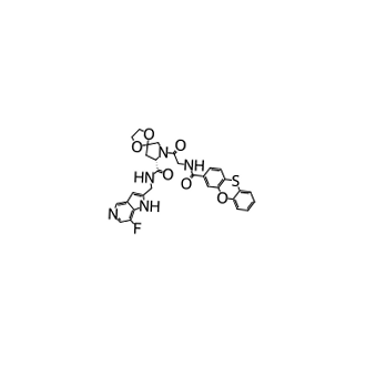 O=C(NCC(=O)N1CC2(C[C@H]1C(=O)NCc1cc3cncc(F)c3[nH]1)OCCO2)c1ccc2c(c1)Oc1ccccc1S2